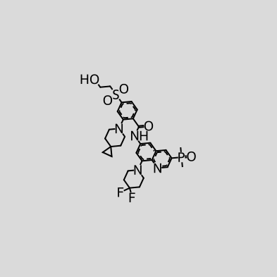 CP(C)(=O)c1cnc2c(N3CCC(F)(F)CC3)cc(NC(=O)c3ccc(S(=O)(=O)CCO)cc3N3CCC4(CC3)CC4)cc2c1